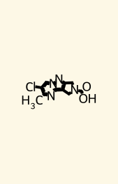 Cc1nc2c3c(nn2cc1Cl)CN(C(=O)O)C3